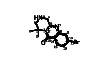 CC1(C)CNCc2nc3cc(Br)ccc3c(=O)n21